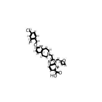 O=C(O)c1ccc2nc(CN3CCc4ccc(OCc5ccc(Cl)cc5F)nc4CC3)n(C[C@@H]3CCO3)c2n1